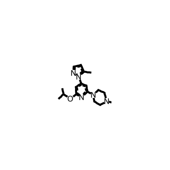 Cc1ccnn1-c1cc(OC(C)C)nc(N2CCN(C)CC2)c1